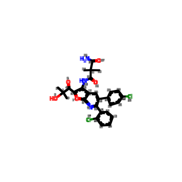 CC(C)(O)C(=O)c1oc2nc(-c3ccccc3Cl)c(-c3ccc(Cl)cc3)cc2c1NC(=O)C(C)(C)C(N)=O